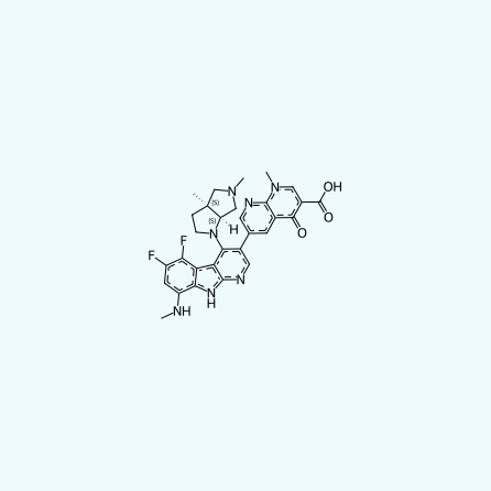 CNc1cc(F)c(F)c2c1[nH]c1ncc(-c3cnc4c(c3)c(=O)c(C(=O)O)cn4C)c(N3CC[C@@]4(C)CN(C)C[C@@H]34)c12